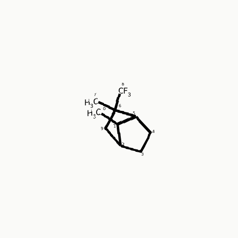 CC1C2CCC1C(C)(C(F)(F)F)C2